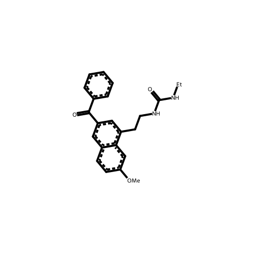 CCNC(=O)NCCc1cc(C(=O)c2ccccc2)cc2ccc(OC)cc12